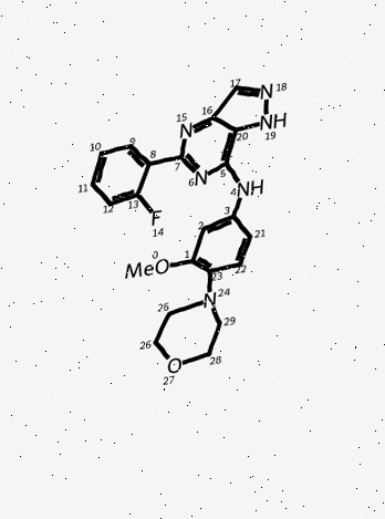 COc1cc(Nc2nc(-c3ccccc3F)nc3cn[nH]c23)ccc1N1CCOCC1